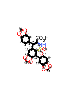 O=C(O)C1=C(c2ccc3c(c2)OCO3)c2cc3c(c(-c4ccc5c(c4)OCO5)c2S(=O)(=O)N1)OCO3